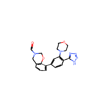 O=CN1COc2c(cccc2-c2ccc(-c3nnn[nH]3)c(N3CCOCC3)c2)C1